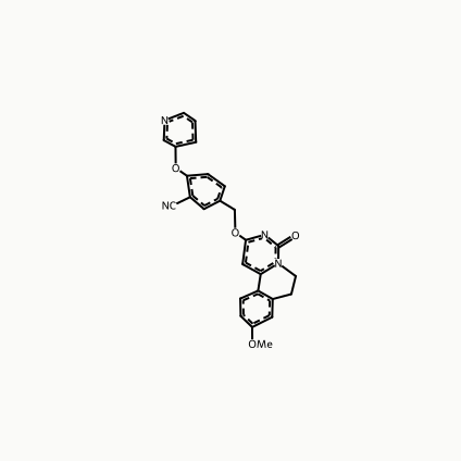 COc1ccc2c(c1)CCn1c-2cc(OCc2ccc(Oc3cccnc3)c(C#N)c2)nc1=O